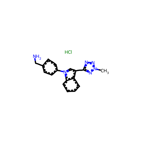 Cl.Cn1nnc(-c2cn(-c3ccc(CN)cc3)c3ccccc23)n1